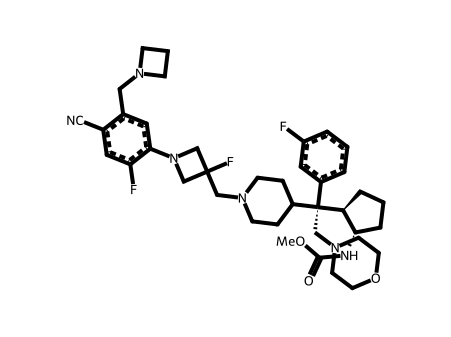 COC(=O)N[C@H]1CCC[C@@H]1[C@](CN1CCOCC1)(c1cccc(F)c1)C1CCN(CC2(F)CN(c3cc(CN4CCC4)c(C#N)cc3F)C2)CC1